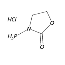 Cl.O=C1OCCN1P